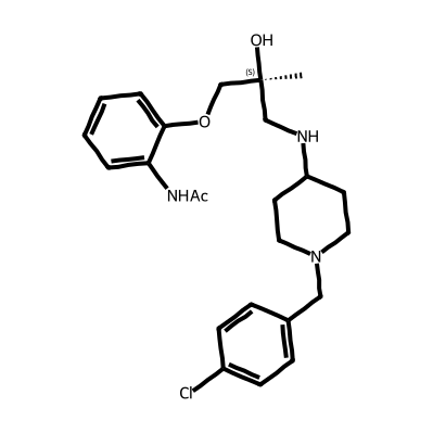 CC(=O)Nc1ccccc1OC[C@@](C)(O)CNC1CCN(Cc2ccc(Cl)cc2)CC1